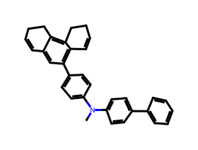 CN(c1ccc(-c2ccccc2)cc1)c1ccc(-c2cc3c(c4c2C=CCC4)CCC=C3)cc1